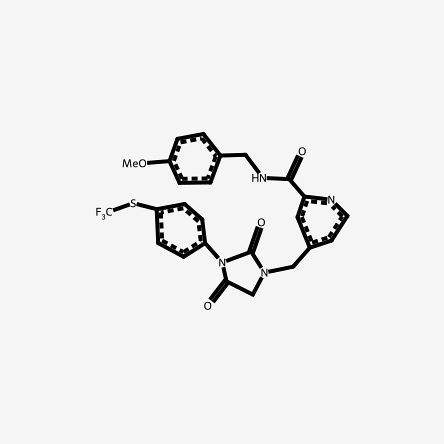 COc1ccc(CNC(=O)c2cc(CN3CC(=O)N(c4ccc(SC(F)(F)F)cc4)C3=O)ccn2)cc1